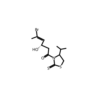 C/C(Br)=C\[C@@H](O)CC(=O)N1C(=S)SCC1C(C)C